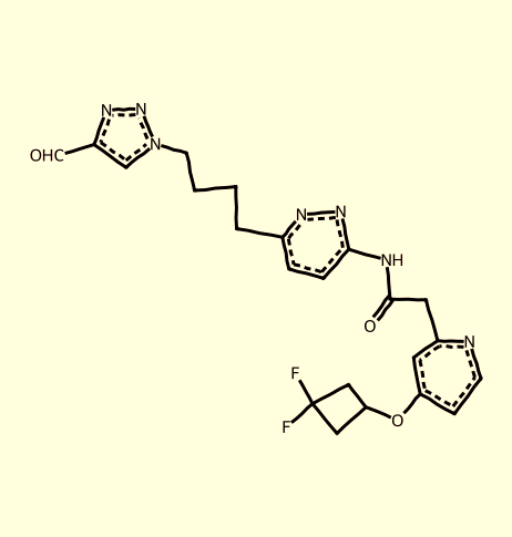 O=Cc1cn(CCCCc2ccc(NC(=O)Cc3cc(OC4CC(F)(F)C4)ccn3)nn2)nn1